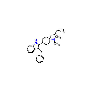 CCCCC1(N(C)C)CCC(c2[nH]c3ccccc3c2Cc2ccccc2)CC1